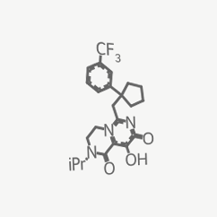 CC(C)N1CCn2c(CC3(c4cccc(C(F)(F)F)c4)CCCC3)nc(=O)c(O)c2C1=O